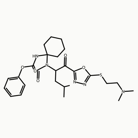 CC(C)CC(C(=O)c1nnc(SCCN(C)C)o1)N(C=O)C1(NC(=O)Oc2ccccc2)CCCCC1